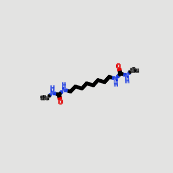 CC(C)(C)NC(=O)NCCCCCCCCNC(=O)NC(C)(C)C